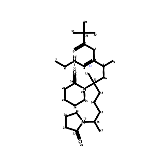 C=C(C/C(=C\NCC)C(C)CC(C)(CCCC(C)N1CCCC1=O)N1CCCCC1=O)C(C)(C)C